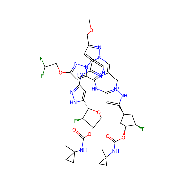 COCc1cc2c(Nc3cc([C@@H]4OC[C@H](OC(=O)NC5(C)CC5)[C@H]4F)[nH]n3)nc(C[n+]3[nH]c([C@H]4C[C@@H](F)[C@@H](OC(=O)NC5(C)CC5)C4)cc3Nc3nccn4nc(OCC(F)F)cc34)cn2n1